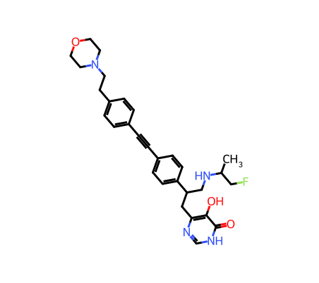 CC(CF)NCC(Cc1nc[nH]c(=O)c1O)c1ccc(C#Cc2ccc(CCN3CCOCC3)cc2)cc1